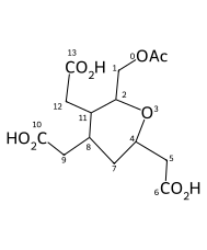 CC(=O)OCC1OC(CC(=O)O)CC(CC(=O)O)C1CC(=O)O